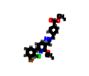 COC(=O)C1CCC(CNCc2ccc(-c3cccc(Br)c3Cl)nc2OC)CC1